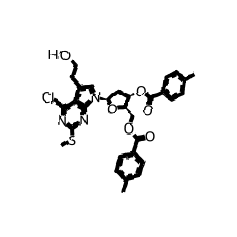 CSc1nc(Cl)c2c(CCO)cn([C@H]3C[C@H](OC(=O)c4ccc(C)cc4)[C@@H](COC(=O)c4ccc(C)cc4)O3)c2n1